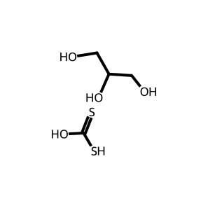 OC(=S)S.OCC(O)CO